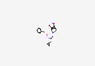 N#CC1(NC(=O)[C@H](CC2CC2)NC(=O)OCc2ccccc2)CC2CCC1[C@H]1C(=O)NC(=O)[C@@H]21